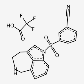 N#Cc1cccc(S(=O)(=O)n2cc3c4c(cccc42)CNCC3)c1.O=C(O)C(F)(F)F